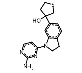 Nc1nccc(N2CCc3ccc(C4(O)CCSC4)cc32)n1